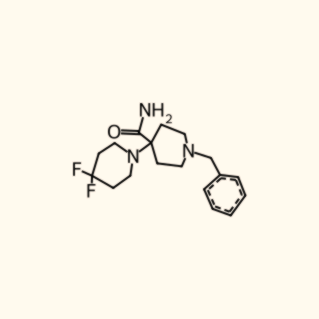 NC(=O)C1(N2CCC(F)(F)CC2)CCN(Cc2ccccc2)CC1